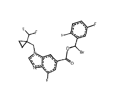 O=C(OC(Br)c1cc(F)ccc1F)c1cc(F)c2ncn(CC3(C(F)F)CC3)c2c1